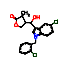 C=C1C(=O)OCC1C(O)c1cn(Cc2ccccc2Cl)c2ccc(Cl)cc12